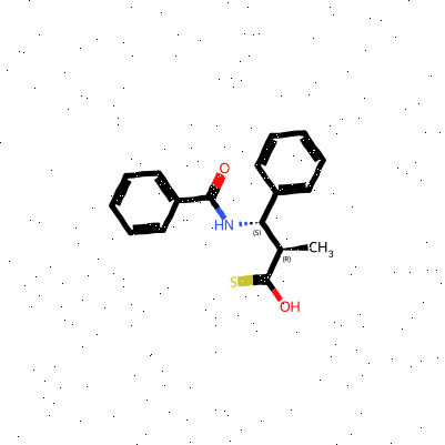 C[C@@H](C(O)=S)[C@H](NC(=O)c1ccccc1)c1ccccc1